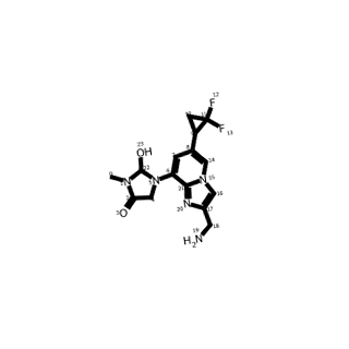 CN1C(=O)CN(c2cc(C3CC3(F)F)cn3cc(CN)nc23)C1O